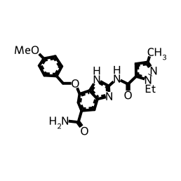 CCn1nc(C)cc1C(=O)Nc1nc2cc(C(N)=O)cc(OCc3ccc(OC)cc3)c2[nH]1